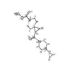 CC(C)(C)OC(=O)N1CCC2(CC1)CC2C(=O)N1CCN(C2CC2)CC1